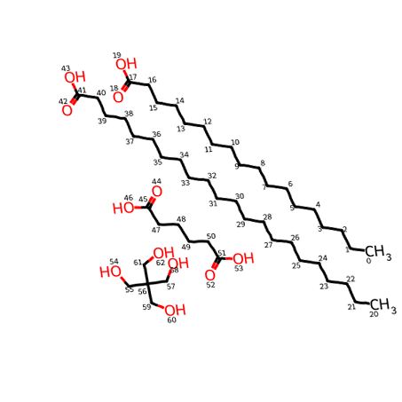 CCCCCCCCCCCCCCCCCC(=O)O.CCCCCCCCCCCCCCCCCCCCCC(=O)O.O=C(O)CCCCC(=O)O.OCC(CO)(CO)CO